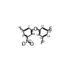 O=[N+]([O-])c1cc(I)cc(Oc2cc(F)cc(F)c2)c1